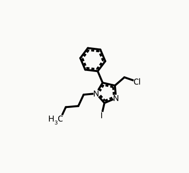 CCCCn1c(I)nc(CCl)c1-c1ccccc1